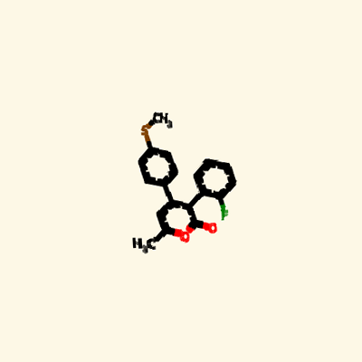 CSc1ccc(-c2cc(C)oc(=O)c2-c2ccccc2F)cc1